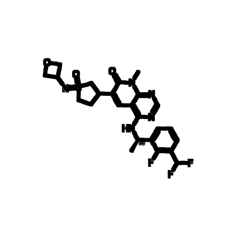 C[C@@H](Nc1ncnc2c1cc(C1CCS(=O)(=NC3COC3)C1)c(=O)n2C)c1cccc(C(F)F)c1F